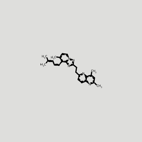 CC(C)=C/C=C\c1c(C)ccn2nc(CCc3ccc4nc(C)cc(C)c4n3)nc12